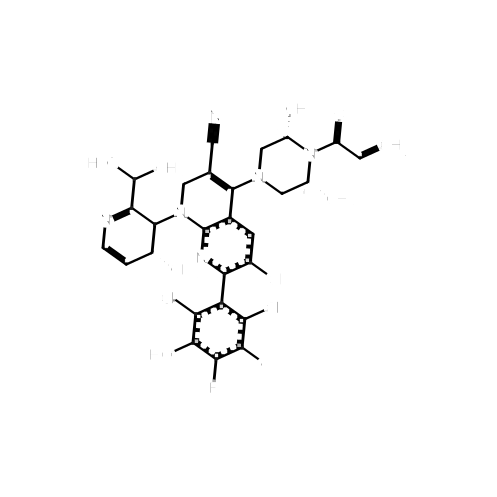 C=CC(=O)N1[C@H](C)CN(C2=C(C#N)CN(C3C(C(C)C)=NC=C[C@H]3C)c3nc(-c4c(Cl)c(O)c(F)c(Cl)c4Cl)c(Cl)cc32)C[C@@H]1C